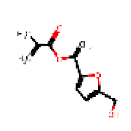 C=C(C)C(=O)OC(=C)c1ccc(CO)o1